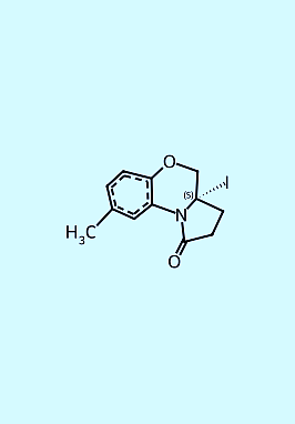 Cc1ccc2c(c1)N1C(=O)CC[C@]1(I)CO2